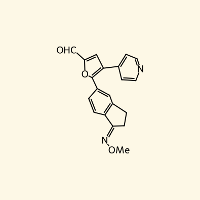 CON=C1CCc2cc(-c3oc(C=O)cc3-c3ccncc3)ccc21